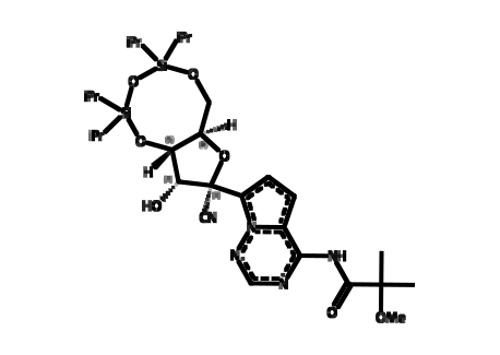 COC(C)(C)C(=O)Nc1ncnn2c([C@]3(C#N)O[C@@H]4CO[Si](C(C)C)(C(C)C)O[Si](C(C)C)(C(C)C)O[C@H]4[C@H]3O)ccc12